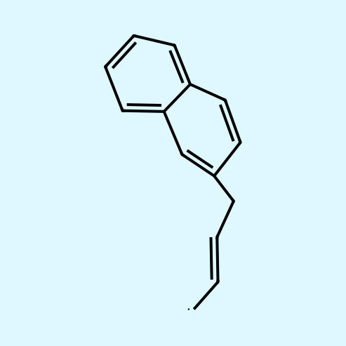 [CH2]C=CCc1ccc2ccccc2c1